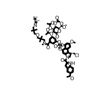 COC(=O)[C@H]1O[C@@H](Oc2ccc(C(=O)N(C)CC(C)(C)COCC(C)(C)CN=[N+]=[N-])cc2OS(=O)(=O)Oc2cc3c(c4cc(OC)ccc24)[C@H](CCl)CN3C(=O)c2cc3cc(C(C)=O)ccc3[nH]2)[C@H](OC(C)=O)[C@@H](OC(C)=O)[C@@H]1OC(C)=O